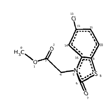 COC(=O)Cn1c(=O)sc2ccc(Cl)cc21